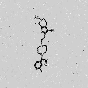 CCc1c(CCN2CCN(c3coc4c(C)cccc34)CC2)sc2c1CCN(C(C)=O)C2